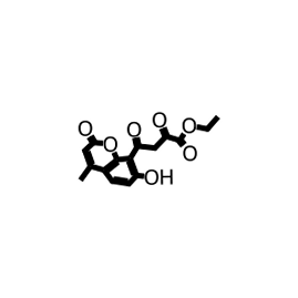 CCOC(=O)C(=O)CC(=O)c1c(O)ccc2c(C)cc(=O)oc12